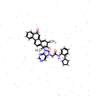 CC1C=c2c(ccc3c2=CC(=O)c2ccccc2-3)C(C)(N2CN(CC(=O)Nc3ccccc3C3CCCC3)c3cncnc32)C1=O